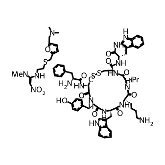 CC(C)[C@@H]1NC(=O)[C@H](CCCCN)NC(=O)[C@@H](Cc2c[nH]c3ccccc23)NC(=O)[C@H](Cc2ccc(O)cc2)NC(=O)[C@@H](NC(=O)[C@H](N)Cc2ccccc2)CSSC[C@@H](C(=O)N[C@@H](Cc2c[nH]c3ccccc23)C(N)=O)NC1=O.CN/C(=C/[N+](=O)[O-])NCCSCc1ccc(CN(C)C)o1